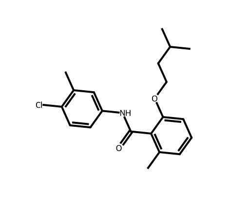 Cc1cc(NC(=O)c2c(C)cccc2OCCC(C)C)ccc1Cl